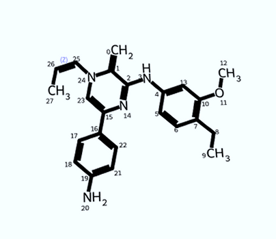 C=C1C(Nc2ccc(CC)c(OC)c2)=NC(c2ccc(N)cc2)=CN1/C=C\C